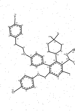 Cc1nc(COc2ccc(Cl)cc2)c(-c2ccc(OCCc3ccc(F)cc3)cc2)c(N2CCC(C)(C)CC2)c1C(OC(C)(C)C)C(=O)O